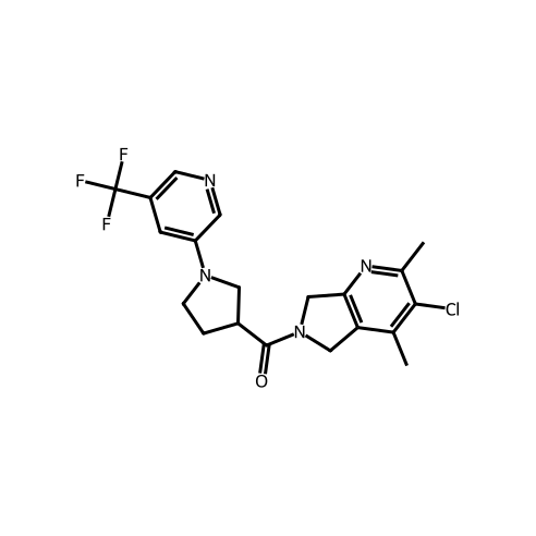 Cc1nc2c(c(C)c1Cl)CN(C(=O)C1CCN(c3cncc(C(F)(F)F)c3)C1)C2